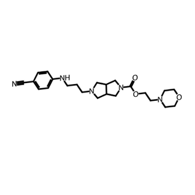 N#Cc1ccc(NCCCN2CC3CN(C(=O)OCCN4CCOCC4)CC3C2)cc1